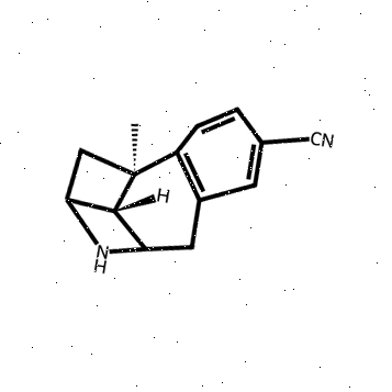 C[C@]12CC3NC(Cc4cc(C#N)ccc41)[C@H]32